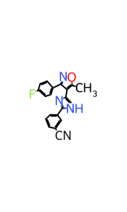 Cc1onc(-c2ccc(F)cc2)c1-c1c[nH]c(-c2cccc(C#N)c2)n1